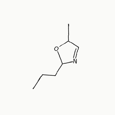 CCCC1N=CC(C)O1